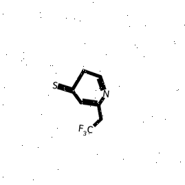 FC(F)(F)CC1=CC(=S)CC=N1